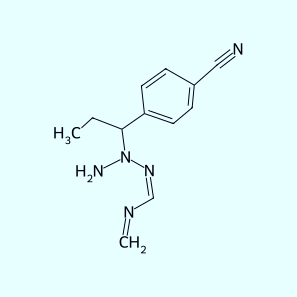 C=N/C=N\N(N)C(CC)c1ccc(C#N)cc1